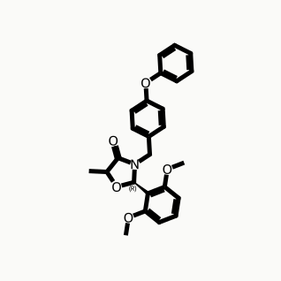 COc1cccc(OC)c1[C@H]1OC(C)C(=O)N1Cc1ccc(Oc2ccccc2)cc1